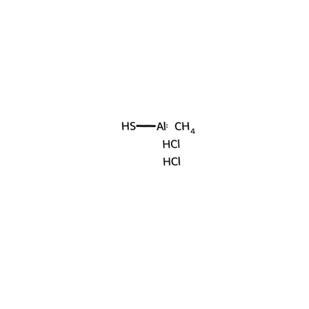 C.Cl.Cl.[Al][SH]